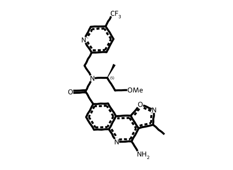 COC[C@H](C)N(Cc1ccc(C(F)(F)F)cn1)C(=O)c1ccc2nc(N)c3c(C)noc3c2c1